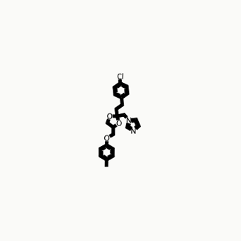 Cc1ccc(OCC2COC(CCc3ccc(Cl)cc3)(Cn3ccnc3)O2)cc1